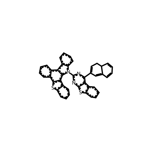 C1=CC2=CC(c3nc(-n4c5ccccc5c5c6ccccc6c6sc7ccccc7c6c54)nc4sc5ccccc5c34)=CCC2C=C1